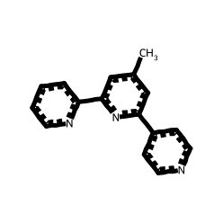 Cc1cc(-c2ccncc2)nc(-c2ccccn2)c1